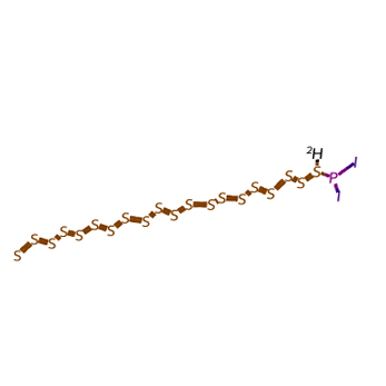 [2H]S(=S=S=S=S=S=S=S=S=S=S=S=S=S=S=S=S=S=S=S)P(I)I